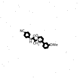 COc1cccc(-c2ccc(=O)n(C(C)C(=O)Nc3ccc(C#N)cc3)n2)c1